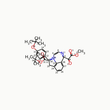 COC(=O)C(=O)C1=NC=C[N+]2(Cc3ccc(OC(C)(C)C)cc3)c3c(cccc31)CC2C(=O)OC(C)(C)C